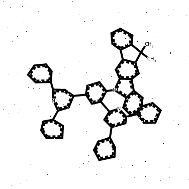 CC1(C)c2ccccc2-c2cc3c(cc21)c1ccccc1n3-c1ccc(-c2cc(-c3ccccc3)nc(-c3ccccc3)c2)cc1-c1cc(-c2ccccc2)cc(-c2ccccc2)n1